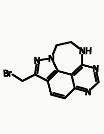 BrCc1nn2c3c1ccc1ncnc(c13)NCC2